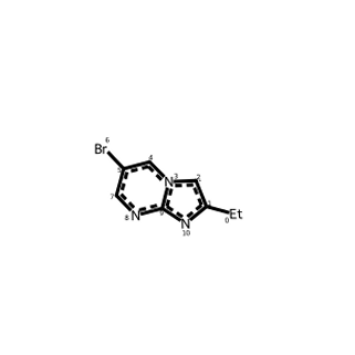 CCc1[c]n2cc(Br)cnc2n1